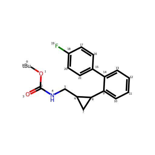 CC(C)(C)OC(=O)NCC1CC1c1ccccc1-c1ccc(F)cc1